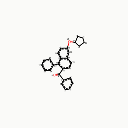 O=C(c1ccccc1)c1ccc2cc(OC3CCCC3)ccc2c1-c1ccccc1